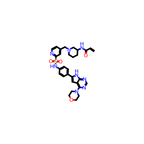 C=CC(=O)NC1CCCN(Cc2ccnc(S(=O)(=O)Nc3ccc(-c4cc5c(N6CCOCC6)ncnc5[nH]4)cc3)c2)C1